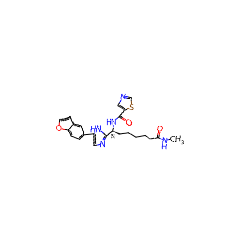 CNC(=O)CCCCC[C@H](NC(=O)c1cncs1)c1ncc(-c2ccc3occc3c2)[nH]1